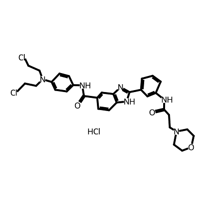 Cl.O=C(CCN1CCOCC1)Nc1cccc(-c2nc3cc(C(=O)Nc4ccc(N(CCCl)CCCl)cc4)ccc3[nH]2)c1